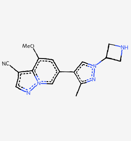 COc1cc(-c2cn(C3CNC3)nc2C)cn2ncc(C#N)c12